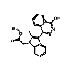 Cc1c(-c2nnc(O)c3ccccc23)c2ccccc2n1CC(=O)OC(C)(C)C